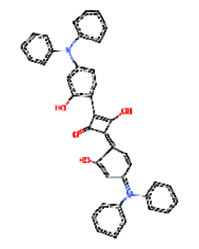 O=C1C(c2ccc(N(c3ccccc3)c3ccccc3)cc2O)=C(O)/C1=C1\C=CC(=[N+](c2ccccc2)c2ccccc2)C=C1O